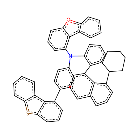 c1ccc(N(c2ccc(-c3cccc4sc5ccccc5c34)cc2)c2cccc3oc4ccccc4c23)c(-c2cccc3cccc(C4CCCCC4)c23)c1